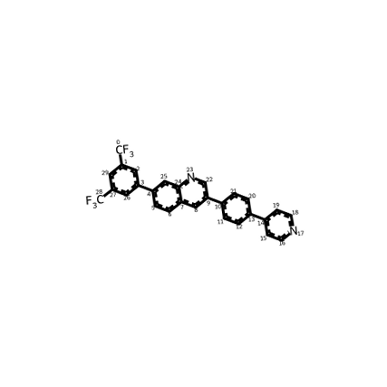 FC(F)(F)c1cc(-c2ccc3cc(-c4ccc(-c5ccncc5)cc4)cnc3c2)cc(C(F)(F)F)c1